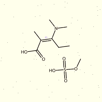 CC/C(=C(/C)C(=O)O)N(C)C.COS(=O)(=O)O